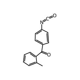 Cc1ccccc1C(=O)c1ccc(N=C=O)cc1